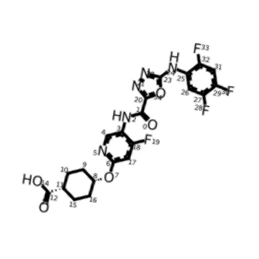 O=C(Nc1cnc(O[C@H]2CC[C@@H](C(=O)O)CC2)cc1F)c1nnc(Nc2cc(F)c(F)cc2F)o1